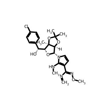 C=N/C(=N\OC)c1ccn([C@@H]2O[C@H]([C@H](O)c3ccc(Cl)cc3)[C@@]3(C)OC(C)(C)O[C@@H]23)c1NC